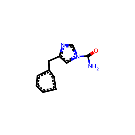 NC(=O)n1cnc([CH]c2ccccc2)c1